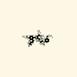 COc1cccc(NC(=O)[C@@H](C)NC(=O)c2nc(-c3ccc(OC)c4nc(C(F)(F)F)ccc34)oc2[C@H](C)N)c1